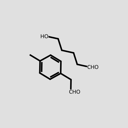 Cc1ccc(CC=O)cc1.O=CCCCCO